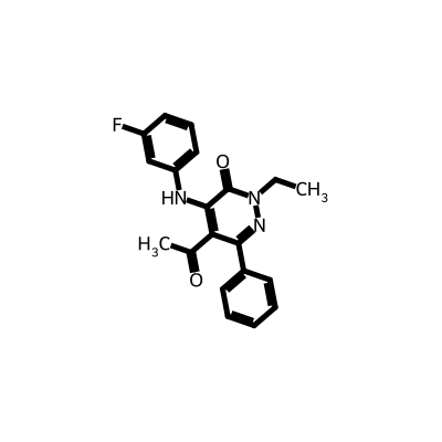 CCn1nc(-c2ccccc2)c(C(C)=O)c(Nc2cccc(F)c2)c1=O